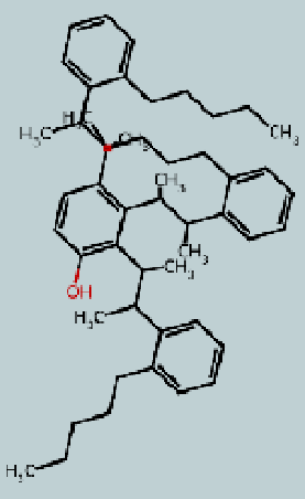 CCCCCc1ccccc1C(C)C(C)c1ccc(O)c(C(C)C(C)c2ccccc2CCCCC)c1C(C)C(C)c1ccccc1CCCCC